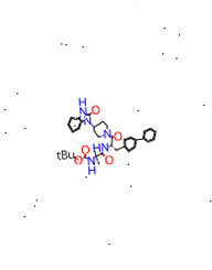 CC(C)(C)OC(=O)NC(C)(C)C(=O)N[C@H](Cc1ccc(-c2ccccc2)cc1)C(=O)N1CCC(n2c(=O)[nH]c3ccccc32)CC1